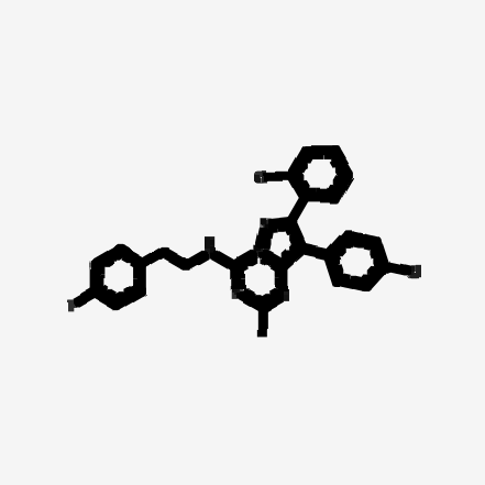 Cc1nc(NCCc2ccc(F)cc2)n2nc(-c3ccccc3Cl)c(-c3ccc(Cl)cc3)c2n1